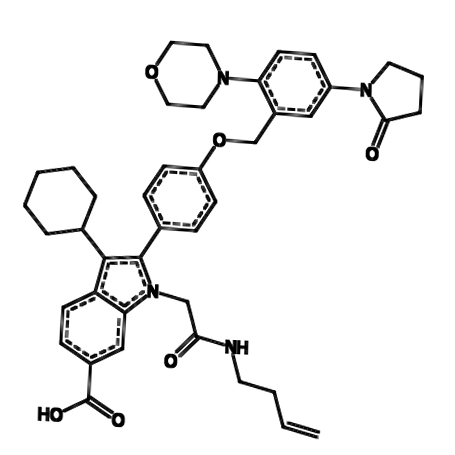 C=CCCNC(=O)Cn1c(-c2ccc(OCc3cc(N4CCCC4=O)ccc3N3CCOCC3)cc2)c(C2CCCCC2)c2ccc(C(=O)O)cc21